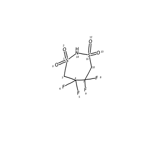 O=S1(=O)CC(F)(F)C(F)(F)CS(=O)(=O)N1